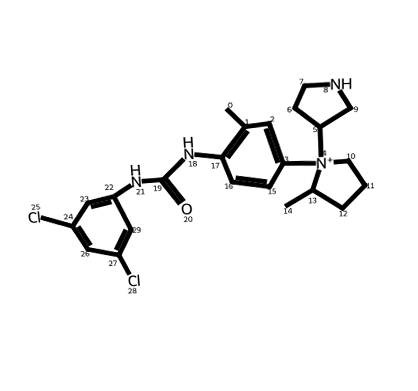 Cc1cc([N+]2(C3CCNC3)CCCC2C)ccc1NC(=O)Nc1cc(Cl)cc(Cl)c1